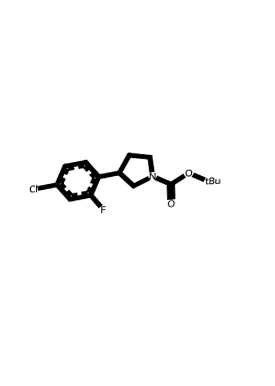 CC(C)(C)OC(=O)N1CCC(c2ccc(Cl)cc2F)C1